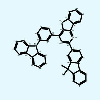 CC1(C)c2ccccc2-c2ccc(-c3nc(-c4cccc(-n5c6ccccc6c6ccccc65)c4)c4oc5ccccc5c4n3)cc21